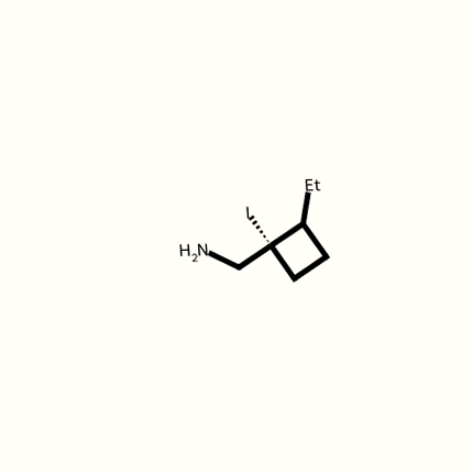 CCC1CC[C@@]1(I)CN